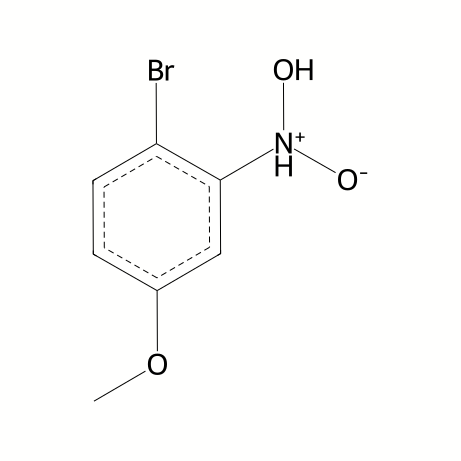 COc1ccc(Br)c([NH+]([O-])O)c1